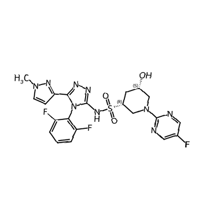 Cn1ccc(-c2nnc(NS(=O)(=O)[C@@H]3C[C@H](O)CN(c4ncc(F)cn4)C3)n2-c2c(F)cccc2F)n1